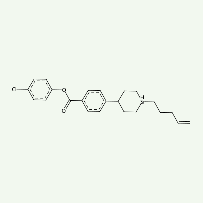 C=CCCC[SiH]1CCC(c2ccc(C(=O)Oc3ccc(Cl)cc3)cc2)CC1